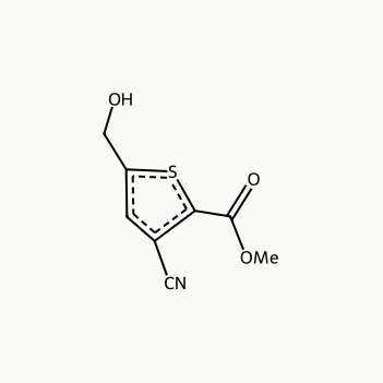 COC(=O)c1sc(CO)cc1C#N